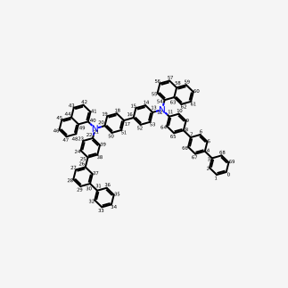 c1ccc(-c2ccc(-c3ccc(N(c4ccc(-c5ccc(N(c6ccc(-c7cccc(-c8ccccc8)c7)cc6)c6cccc7ccccc67)cc5)cc4)c4cccc5ccccc45)cc3)cc2)cc1